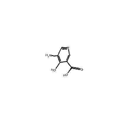 Nc1cncc(C(=O)O)c1O